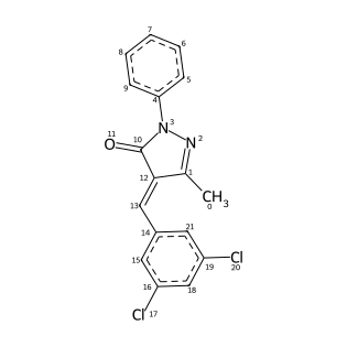 CC1=NN(c2ccccc2)C(=O)/C1=C/c1cc(Cl)cc(Cl)c1